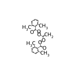 C=C(OOC(=O)c1c(C)cccc1C)OOC(=O)c1c(C)cccc1C